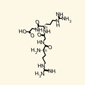 N=C(N)NCCC[C@H](NC(=O)CNC(=O)[C@@H](N)CCCNC(=N)N)C(=O)NCC(=O)O